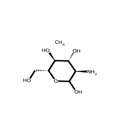 C.N[C@H]1C(O)O[C@H](CO)[C@@H](O)[C@@H]1O